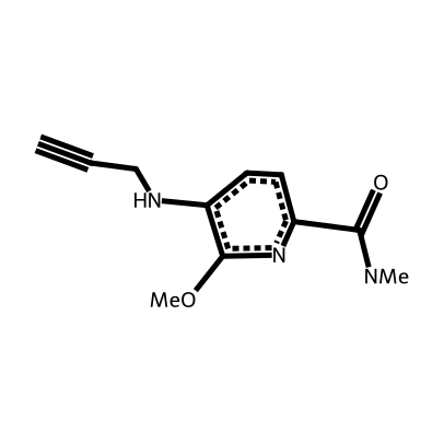 C#CCNc1ccc(C(=O)NC)nc1OC